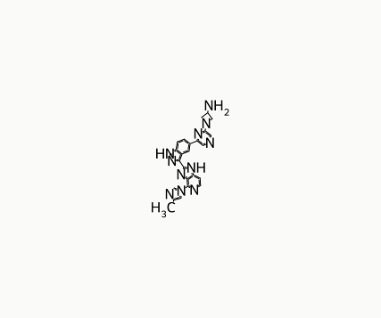 Cc1cn(-c2nccc3[nH]c(-c4n[nH]c5ccc(-c6cncc(N7CC(N)C7)n6)cc45)nc23)cn1